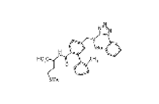 CCCCN(Cc1ccc(C(=O)N[C@@H](CCSC)C(=O)O)c(-c2ccccc2C)c1)c1nnnn1-c1ccccc1